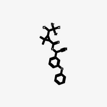 CC1(C)C(C(=O)OC(C#N)c2cccc(Oc3ccccc3)c2)C1C(Cl)C(Cl)(Br)Br